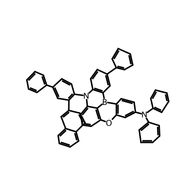 c1ccc(-c2ccc3c(c2)B2c4ccc(N(c5ccccc5)c5ccccc5)cc4Oc4cccc(c42)N3c2ccc(-c3ccccc3)cc2-c2ccc3ccccc3c2)cc1